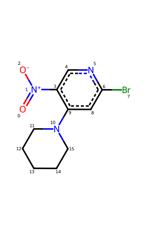 O=[N+]([O-])c1cnc(Br)cc1N1CCCCC1